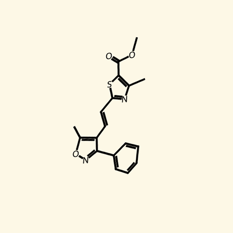 COC(=O)c1sc(C=Cc2c(-c3ccccc3)noc2C)nc1C